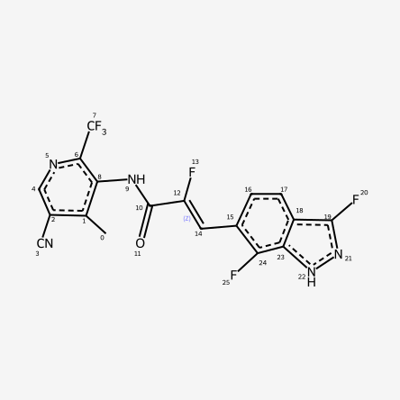 Cc1c(C#N)cnc(C(F)(F)F)c1NC(=O)/C(F)=C/c1ccc2c(F)n[nH]c2c1F